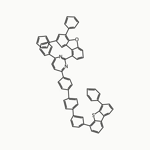 C1=CC(c2ccc(-c3ccc(-c4cccc(-c5cccc6c5sc5c(-c7ccccc7)cccc56)c4)cc3)cc2)=NC(c2cccc3oc4c(-c5ccccc5)cc(-c5ccccc5)cc4c23)=NC=1c1ccccc1